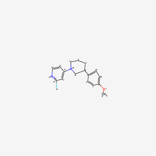 COc1ccc(C2CCCN(c3ccnc(F)c3)C2)cc1